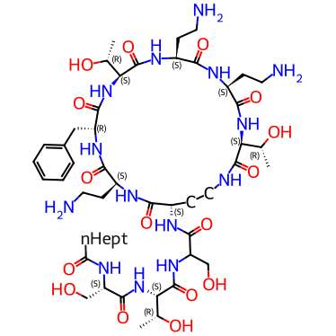 CCCCCCCC(=O)N[C@@H](CO)C(=O)N[C@H](C(=O)NC(CO)C(=O)N[C@H]1CCNC(=O)[C@H]([C@@H](C)O)NC(=O)[C@H](CCN)NC(=O)[C@H](CCN)NC(=O)[C@H]([C@@H](C)O)NC(=O)[C@@H](Cc2ccccc2)NC(=O)[C@H](CCN)NC1=O)[C@@H](C)O